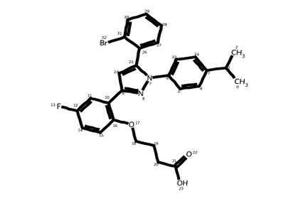 CC(C)c1ccc(-n2nc(-c3cc(F)ccc3OCCCC(=O)O)cc2-c2ccccc2Br)cc1